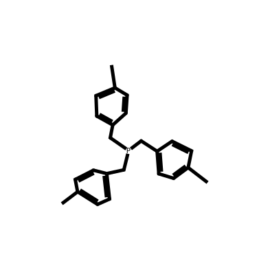 Cc1ccc(CP(Cc2ccc(C)cc2)Cc2ccc(C)cc2)cc1